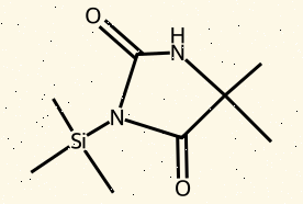 CC1(C)NC(=O)N([Si](C)(C)C)C1=O